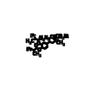 CCOC(=O)OC(C)CC(c1ccc(OC(=O)C(C)C(C)C)c(OC(=O)C(C)C(C)C)c1)[C@H](N)C(=O)O